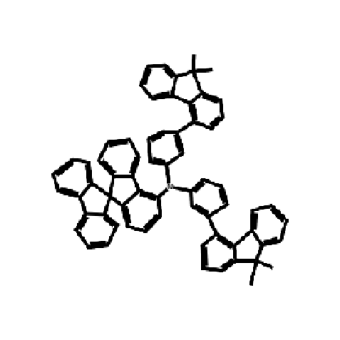 CC1(C)c2ccccc2-c2c(-c3cccc(N(c4cccc(-c5cccc6c5-c5ccccc5C6(C)C)c4)c4cccc5c4-c4ccccc4C54c5ccccc5-c5ccccc54)c3)cccc21